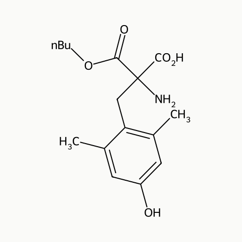 CCCCOC(=O)C(N)(Cc1c(C)cc(O)cc1C)C(=O)O